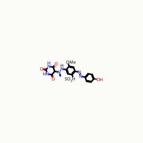 COc1cc(N=Nc2ccc(O)cc2)c(S(=O)(=O)O)cc1NN(C)C1C(=O)NC(=O)NC1=O